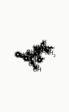 CCCC[C@H](NC(=O)[C@H](CC(C)C)NC(=O)[C@@H](NC(=O)[C@H](Cc1ccccc1C)NC(=O)[C@H](CCC(=O)O)NC(=O)[C@H](Cc1ccc(OCc2ccccc2)cc1)NC(=O)CCC(=O)O)C(C)(C)C)C(=O)C(N)=O